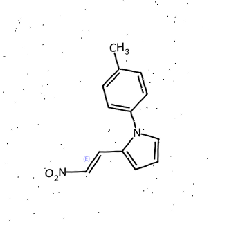 Cc1ccc(-n2cccc2/C=C/[N+](=O)[O-])cc1